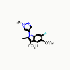 CCCn1cc(-n2c(C)c(C(=O)O)c3cc(OC)c(F)cc32)cn1